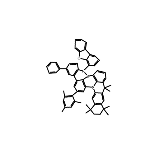 Cc1cc(C)c(-c2cc3c4c(c2)N2c5cc6c(cc5C(C)(C)c5cccc(c52)B4N(c2cccc4c2oc2ccccc24)c2ccc(-c4ccccc4)cc2-3)C(C)(C)CCC6(C)C)c(C)c1